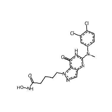 CN(c1ccc(Cl)c(Cl)c1)c1nc2cnn(CCCCC(=O)NO)c2c(=O)[nH]1